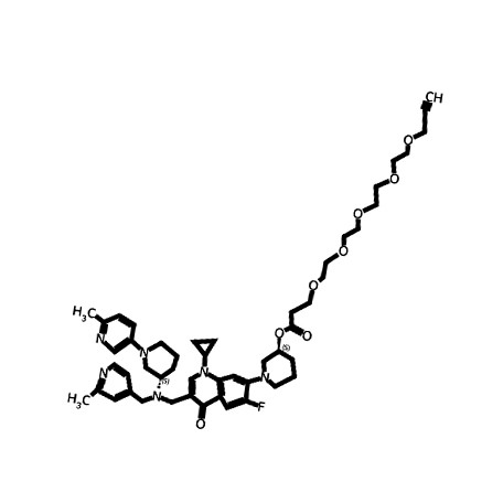 C#CCOCCOCCOCCOCCOCCC(=O)O[C@H]1CCCN(c2cc3c(cc2F)c(=O)c(CN(Cc2ccnc(C)c2)[C@H]2CCCN(c4ccc(C)nc4)C2)cn3C2CC2)C1